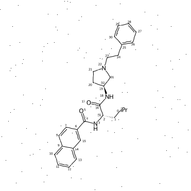 CC(C)C[C@H](NC(=O)c1ccc2ccccc2c1)C(=O)N[C@H]1CCN(CCc2ccccc2)C1